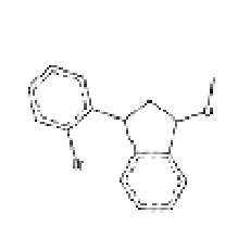 COC1CC(c2ccccc2Br)c2ccccc21